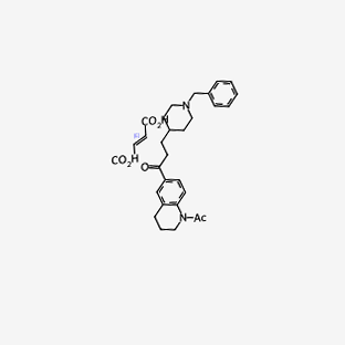 CC(=O)N1CCCc2cc(C(=O)CCC3CCN(Cc4ccccc4)CC3)ccc21.O=C(O)/C=C/C(=O)O